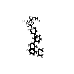 CC(C)(C)OC(=O)N1CCC(N/C=C(\C=N)c2cnc3cccc(N4CCOCC4)c3n2)CC1